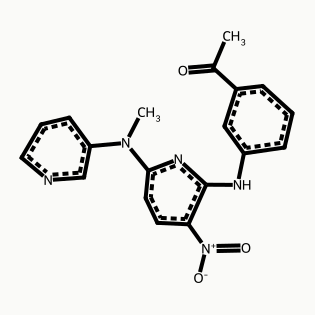 CC(=O)c1cccc(Nc2nc(N(C)c3cccnc3)ccc2[N+](=O)[O-])c1